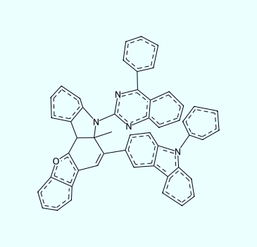 CC12C(c3ccc4c(c3)c3ccccc3n4-c3ccccc3)=Cc3c(oc4ccccc34)C1c1ccccc1N2c1nc(-c2ccccc2)c2ccccc2n1